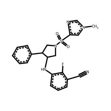 Cn1cnc(S(=O)(=O)N2CC(Nc3cccc(C#N)c3F)C(c3ccccc3)C2)c1